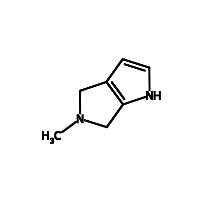 CN1Cc2cc[nH]c2C1